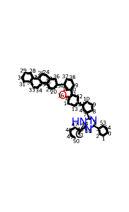 c1ccc(C2=NC(c3cccc(-c4ccc5oc6c(-c7ccc8c(ccc9c%10ccccc%10ccc89)c7)cccc6c5c4)c3)NC(c3ccccc3)=N2)cc1